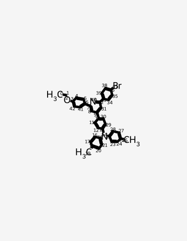 CCOc1ccc(-c2cc(-c3ccc(N(c4ccc(C)cc4)c4ccc(C)cc4)cc3)cc(-c3ccc(Br)cc3)n2)cc1